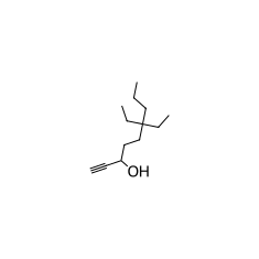 C#CC(O)CCC(CC)(CC)CCC